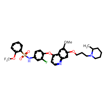 COc1cc2c(Oc3ccc(NS(=O)(=O)c4ccccc4OC(F)(F)F)cc3F)ccnc2cc1OCCCN1CCCCC1C